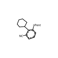 CCCCCc1cccc(C#N)c1C1CCCCC1